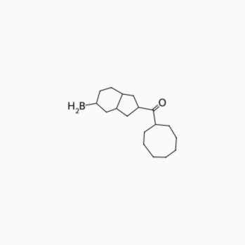 BC1CCC2CC(C(=O)C3CCCCCCC3)CC2C1